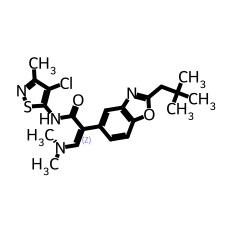 Cc1nsc(NC(=O)/C(=C\N(C)C)c2ccc3oc(CC(C)(C)C)nc3c2)c1Cl